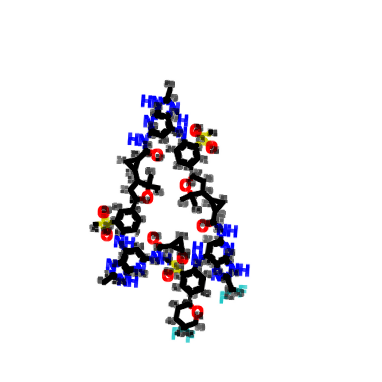 Cc1nc2c(Nc3ccc([C@H]4CC(C5CC5C(=O)Nc5cc(Nc6ccc([C@@H]7CC(C8CC8C(=O)Nc8cc(Nc9ccc([C@H]%10CCC(F)(F)CO%10)cc9S(C)(=O)=O)c9nc(C(F)F)[nH]c9n8)C(C)(C)O7)cc6S(C)(=O)=O)c6nc(C)[nH]c6n5)C(C)(C)O4)cc3S(C)(=O)=O)cc(NC(=O)C3CC3)nc2[nH]1